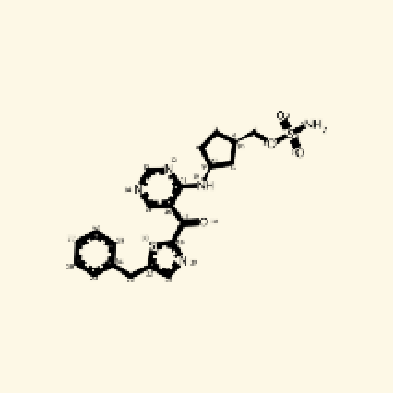 NS(=O)(=O)OC[C@@H]1CC[C@H](Nc2ncncc2C(=O)c2ncc(Cc3ccccc3)s2)C1